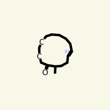 CC1CC/C=C/CCCCCCCCCC1=O